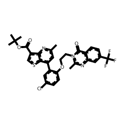 Cc1cc(-c2cc(Cl)ccc2OCCn2c(C)nc3cc(C(F)(F)F)ccc3c2=O)c2scc(C(=O)OC(C)(C)C)c2n1